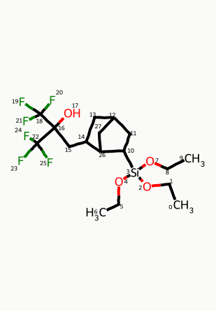 CCO[Si](OCC)(OCC)C1CC2CC(CC(O)(C(F)(F)F)C(F)(F)F)C1C2